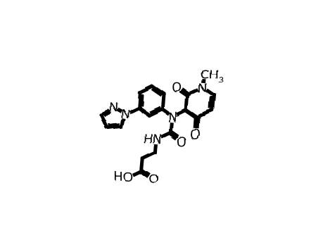 CN1C=CC(=O)C(N(C(=O)NCCC(=O)O)c2cccc(-n3cccn3)c2)C1=O